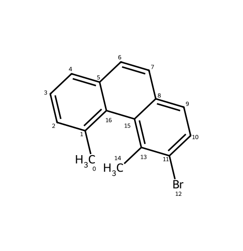 Cc1cccc2ccc3ccc(Br)c(C)c3c12